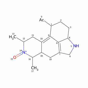 CC(=O)C1CCC2NCC3=C2C1=C1CC(C)[N+](=O)C(C)C1C3